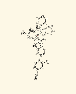 N#Cc1ccc(-c2ccc3nc(C(CC(=O)NC(c4ccccc4)(c4ccccc4)c4ccccc4)NC(=O)O)[nH]c3c2)c(Cl)c1